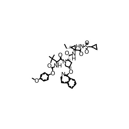 CC[C@@H]1C[C@]1(NC(=O)[C@@H]1C[C@@H](Oc2nccc3ccccc23)CN1C(=O)[C@@H](NC(=O)Oc1ccc(OC)cc1)C(C)(C)C)C(=O)NS(=O)(=O)C1CC1